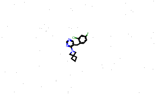 Fc1ccc(Cc2cncnc2N2CC3(CCC3)C2)c(Cl)c1